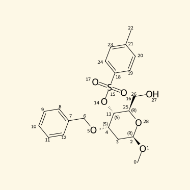 CO[C@H]1C[C@H](OCc2ccccc2)[C@H](OS(=O)(=O)c2ccc(C)cc2)[C@@H](CO)O1